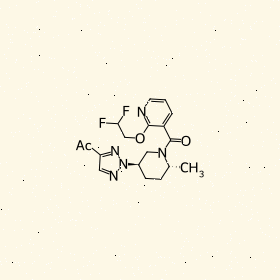 CC(=O)c1cnn([C@@H]2CC[C@@H](C)N(C(=O)c3cccnc3OCC(F)F)C2)n1